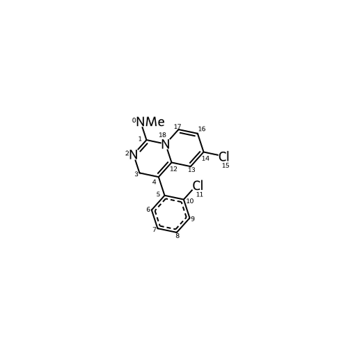 CNC1=NCC(c2ccccc2Cl)=C2C=C(Cl)C=CN12